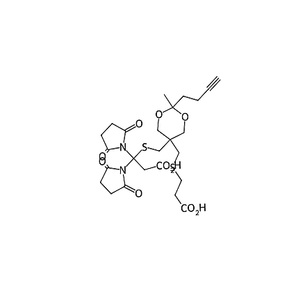 C#CCCC1(C)OCC(CSCCC(=O)O)(CSC(CC(=O)O)(N2C(=O)CCC2=O)N2C(=O)CCC2=O)CO1